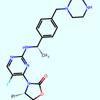 CC(C)[C@H]1COC(=O)N1c1nc(N[C@@H](C)c2ccc(CN3CCNCC3)cc2)ncc1F